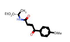 CCOC(=O)[C@H](C)NC(=O)/C=C/C(=O)c1ccc(OC)cc1